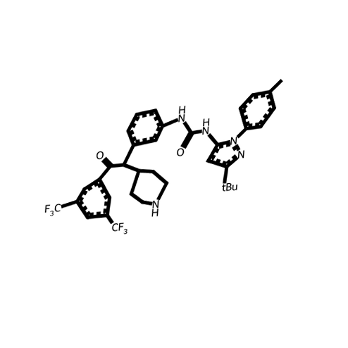 Cc1ccc(-n2nc(C(C)(C)C)cc2NC(=O)Nc2cccc(C(C(=O)c3cc(C(F)(F)F)cc(C(F)(F)F)c3)C3CCNCC3)c2)cc1